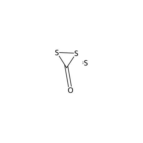 O=C1SS1.[S]